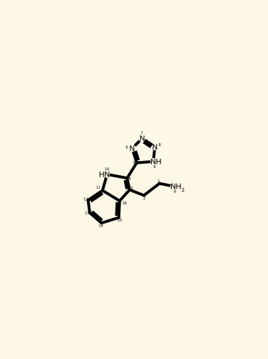 NCCc1c(-c2nnn[nH]2)[nH]c2ccccc12